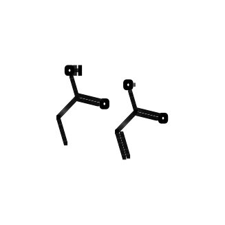 C=CC([O])=O.CCC(=O)O